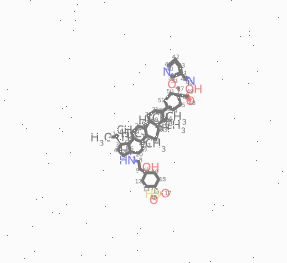 C=C(C)[C@@H]1CC[C@]2(NCC[C@]3(O)CC[C@@H]([SH](=O)=O)CC3)CC[C@]3(C)[C@H](CC[C@@H]4[C@@]5(C)CC=C(C6=CC[C@](COc7ncccc7C#N)(C(=O)O)CC6)C(C)(C)[C@@H]5CC[C@]43C)[C@@H]12